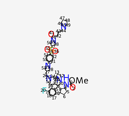 COC(=O)N[C@H]1CCC[C@@H]1C(CN1CCC1)(c1cccc(F)c1)C1CCN(CC2CN(c3ccc(S(=O)(=O)C4CN(C(=O)/C=C/CN5CCCC5)C4)cc3)C2)CC1